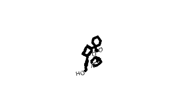 O=C(OC1CN2CCC1CC2)C1(c2cccc(C#CCO)c2)CCCCC1